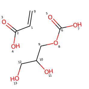 C=CC(=O)O.O=C(O)OCC(O)CO